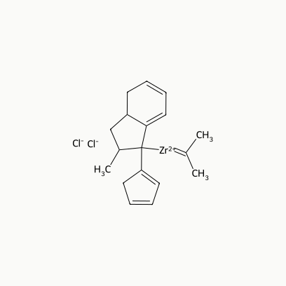 C[C](C)=[Zr+2][C]1(C2=CC=CC2)C2=CC=CCC2CC1C.[Cl-].[Cl-]